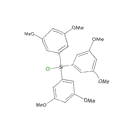 COc1cc(OC)cc([Si](Cl)(c2cc(OC)cc(OC)c2)c2cc(OC)cc(OC)c2)c1